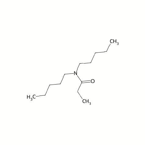 CCCCCN(CCCCC)C(=O)CC